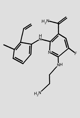 C=Cc1c(C)cccc1Nc1nc(NCCN)c(F)cc1C(=C)N